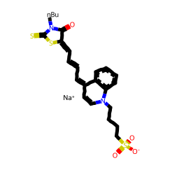 CCCCN1C(=O)/C(=C/C=C/C=C2/C=CN(CCCCS(=O)(=O)[O-])c3ccccc32)SC1=S.[Na+]